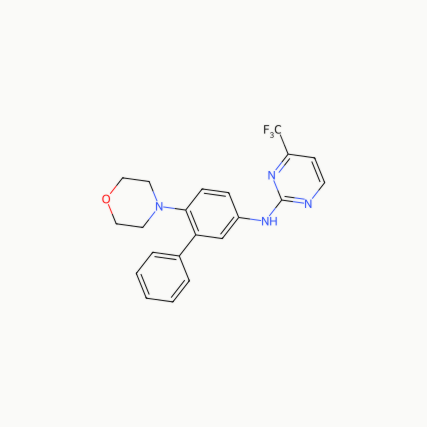 FC(F)(F)c1ccnc(Nc2ccc(N3CCOCC3)c(-c3ccccc3)c2)n1